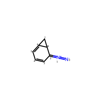 [N-]=[N+]=C1C=CC=C2CC21